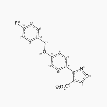 CCOC(=O)c1conc1-c1ccc(OCc2ccc(F)cc2)cc1